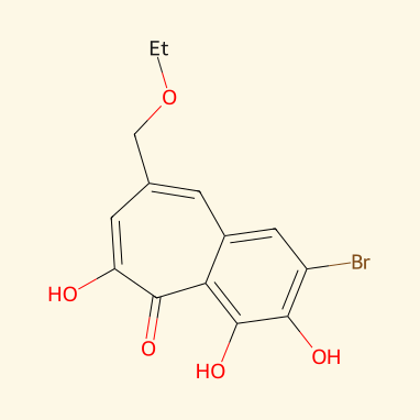 CCOCc1cc(O)c(=O)c2c(O)c(O)c(Br)cc2c1